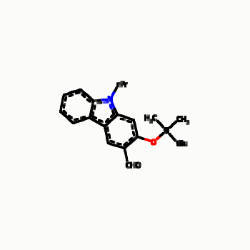 CCCn1c2ccccc2c2cc(C=O)c(O[Si](C)(C)C(C)(C)C)cc21